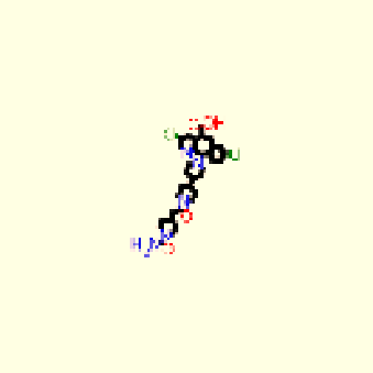 NC(=O)N1CCC(CC(=O)N2CCC(C3CCN(C4c5ccc(Cl)cc5C=C(C(=O)O)c5cc(Cl)cnc54)CC3)CC2)CC1